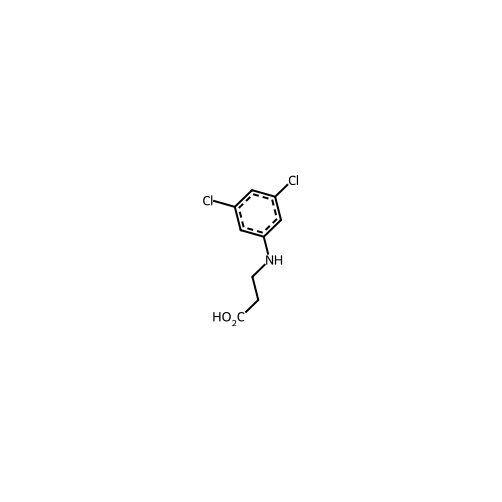 O=C(O)CCNc1cc(Cl)cc(Cl)c1